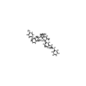 Fc1ccc(-c2nccc3[nH]c(-c4n[nH]c5cc(F)c(-c6cncc(CNCc7ccccc7)c6)cc45)nc23)cc1